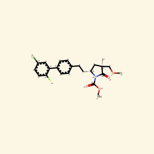 CCOC[C@]1(C)C[C@@H](CCc2ccc(-c3cc(Cl)ccc3F)cc2)N(C(=O)OC(C)(C)C)C1=O